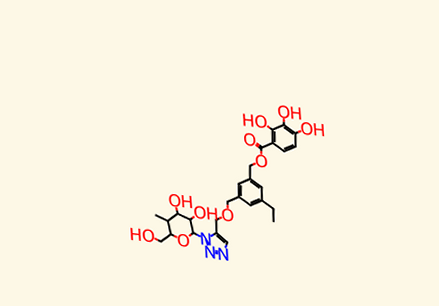 CCc1cc(COCc2cnnn2C2OC(CO)C(C)C(O)C2O)cc(COC(=O)c2ccc(O)c(O)c2O)c1